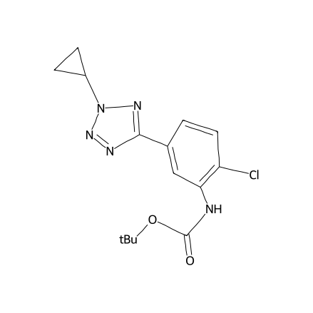 CC(C)(C)OC(=O)Nc1cc(-c2nnn(C3CC3)n2)ccc1Cl